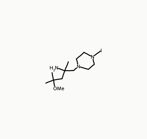 COC(C)(C)CC(C)(N)CN1CCN(I)CC1